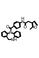 Cc1occc1CC(=O)Nc1ccc(C(=O)N2c3ccccc3CNc3ccccc32)cc1